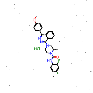 COc1ccc(-c2nnc(N3CCN(C(=O)Nc4ccc(F)cc4F)C(C)C3)c3ccccc23)cc1.Cl